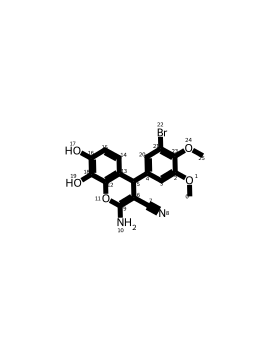 COc1cc(C2C(C#N)=C(N)Oc3c2ccc(O)c3O)cc(Br)c1OC